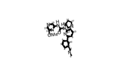 C/N=C/c1cccc(-c2ccc3c(n2)N(C(=O)Nc2cncc(OC)n2)[C@H]2CCN3C2)c1